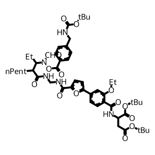 CCCCCC(C(=O)NCNC(=O)c1ccc(-c2ccc(C(=O)NC(CC(=O)OC(C)(C)C)C(=O)OC(C)(C)C)c(OCC)c2)o1)C(CC)N(C=O)OC(=O)c1ccc(CNC(=O)OC(C)(C)C)cc1